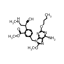 C#CC(CNC)c1ccc(Cn2c(OC)nc3c(N)nc(OCCCC)nc32)cc1C(=O)OC